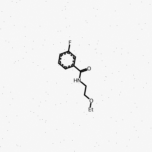 CCOCCNC(=O)c1cccc(F)c1